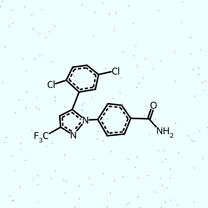 NC(=O)c1ccc(-n2nc(C(F)(F)F)cc2-c2cc(Cl)ccc2Cl)cc1